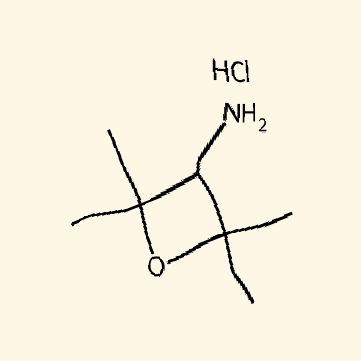 CC1(C)OC(C)(C)C1N.Cl